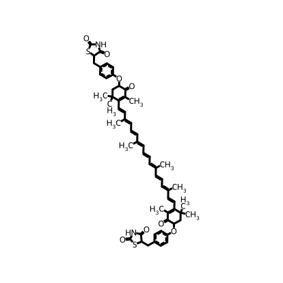 CC1=C(/C=C/C(C)=C/C=C/C(C)=C/C=C/C=C(C)/C=C/C=C(C)/C=C/C2=C(C)C(=O)C(Oc3ccc(CC4SC(=O)NC4=O)cc3)CC2(C)C)C(C)(C)CC(Oc2ccc(CC3SC(=O)NC3=O)cc2)C1=O